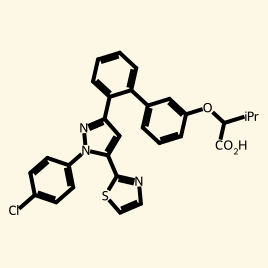 CC(C)C(Oc1cccc(-c2ccccc2-c2cc(-c3nccs3)n(-c3ccc(Cl)cc3)n2)c1)C(=O)O